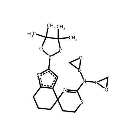 CC1(C)OB(c2cc3c(s2)CCCC32CCSC(N(B3CO3)B3CO3)=N2)OC1(C)C